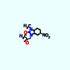 Cn1c(=O)n(CC2(C)CO2)c2cc([N+](=O)[O-])ccc21